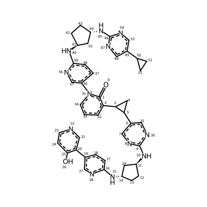 O=c1c(C2CC2c2cnc(N[C@H]3CC[C@H](Nc4ccc(-c5cnccc5O)cn4)C3)nc2)cccn1-c1ccc(N[C@H]2CC[C@H](Nc3ncc(C4CC4)cn3)C2)nc1